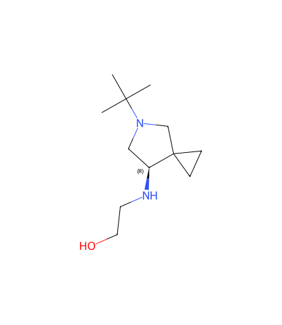 CC(C)(C)N1C[C@H](NCCO)C2(CC2)C1